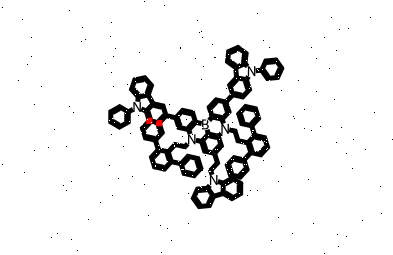 c1ccc(-c2cccc(-c3ccccc3)c2CCN2c3cc(-c4ccc5c(c4)c4ccccc4n5-c4ccccc4)ccc3B3c4ccc(-c5ccc6c(c5)c5ccccc5n6-c5ccccc5)cc4N(CCc4c(-c5ccccc5)cccc4-c4ccccc4)c4cc(CCn5c6ccccc6c6ccccc65)cc2c43)cc1